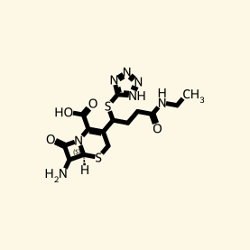 CCNC(=O)CCC(Sc1nnn[nH]1)C1=C(C(=O)O)N2C(=O)C(N)[C@@H]2SC1